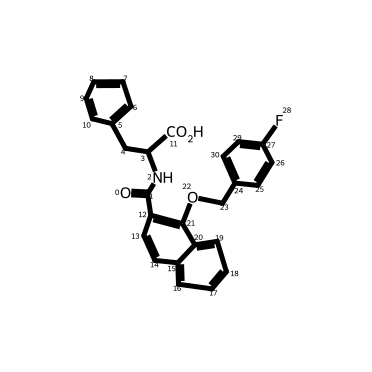 O=C(NC(Cc1ccccc1)C(=O)O)c1ccc2ccccc2c1OCc1ccc(F)cc1